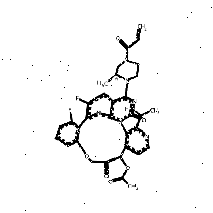 C=CC(=O)N1CCN(c2nc(=O)n3c4nc(c(F)cc24)-c2c(F)cccc2OCC(=O)C(OC(C)=O)c2ccnc(C(C)C)c2-3)[C@@H](C)C1